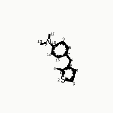 Cc1sccc1Cc1ccc(N(C)C)cc1